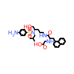 CC(C)CN(C(CO)CCCNC(=O)C(Cc1cccc2ccccc12)NCC(=O)O)S(=O)(=O)c1ccc(N)cc1